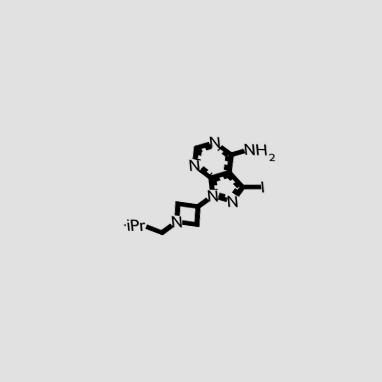 C[C](C)CN1CC(n2nc(I)c3c(N)ncnc32)C1